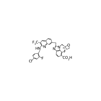 O=C(O)c1ccc2nc(Cc3ccc4cc(C(F)(F)F)c(NCc5ccc(Cl)cc5F)nc4c3)n(C[C@@H]3CCO3)c2c1F